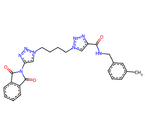 Cc1cccc(CNC(=O)c2cn(CCCCn3cc(N4C(=O)c5ccccc5C4=O)nn3)nn2)c1